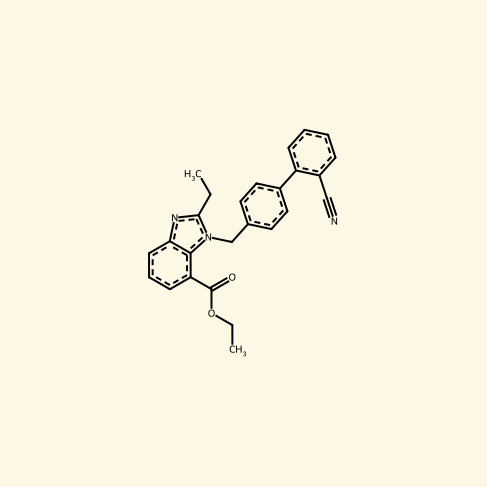 CCOC(=O)c1cccc2nc(CC)n(Cc3ccc(-c4ccccc4C#N)cc3)c12